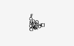 C[C@@H](c1ccc(Cl)cc1)n1nnc2c1NC(=O)C[C@]21C(=O)N(Cc2ccc(F)cc2)c2ccc(Cl)cc21